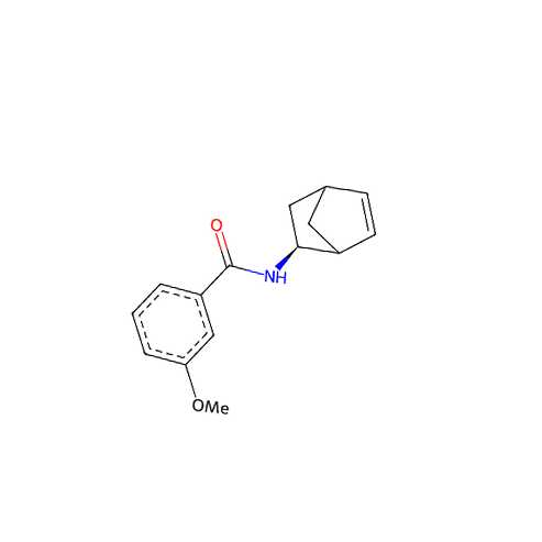 COc1cccc(C(=O)N[C@H]2CC3C=CC2C3)c1